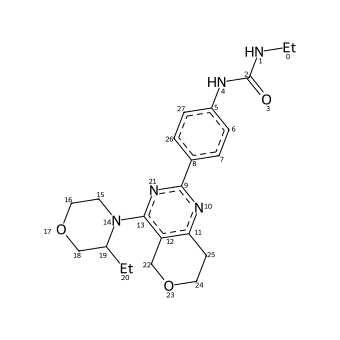 CCNC(=O)Nc1ccc(-c2nc3c(c(N4CCOCC4CC)n2)COCC3)cc1